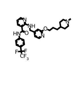 CN1CCC(CCCOc2cc(CNc3ncccc3C(=O)Nc3ccc(C(F)(F)C(F)(F)F)cc3)ccn2)CC1